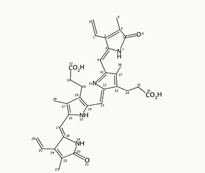 C=CC1=C(C)C(=O)N/C1=C\C1=NC(=Cc2[nH]c(/C=C3\NC(=O)C(C)=C3C=C)c(C)c2CCC(=O)O)C(CCC(=O)O)=C1C